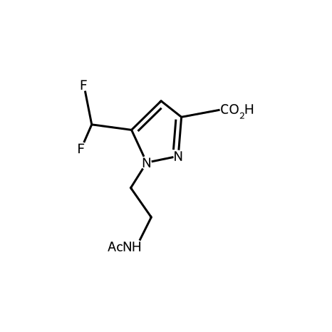 CC(=O)NCCn1nc(C(=O)O)cc1C(F)F